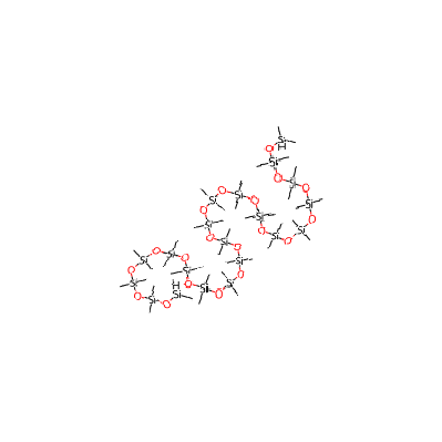 C[SiH](C)O[Si](C)(C)O[Si](C)(C)O[Si](C)(C)O[Si](C)(C)O[Si](C)(C)O[Si](C)(C)O[Si](C)(C)O[Si](C)(C)O[Si](C)(C)O[Si](C)(C)O[Si](C)(C)O[Si](C)(C)O[Si](C)(C)O[Si](C)(C)O[Si](C)(C)O[Si](C)(C)O[Si](C)(C)O[Si](C)(C)O[SiH](C)C